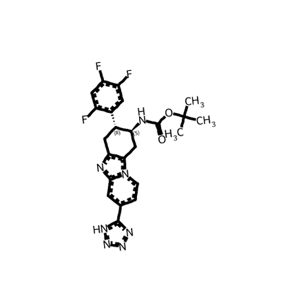 CC(C)(C)OC(=O)N[C@H]1Cc2c(nc3cc(-c4nnn[nH]4)ccn23)C[C@@H]1c1cc(F)c(F)cc1F